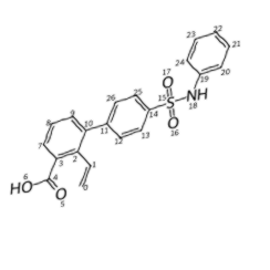 C=Cc1c(C(=O)O)cccc1-c1ccc(S(=O)(=O)Nc2ccccc2)cc1